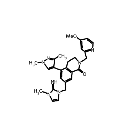 COc1ccnc(CN2CCc3c(cc(Cn4ccn(C)c4=N)cc3-c3cn(C)nc3C)C2=O)c1